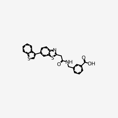 O=C(Cc1nc2ccc(-c3csc4ccccc34)cc2s1)NCc1cccc(C(=O)O)c1